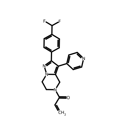 C=CC(=O)N1CCn2nc(-c3ccc(C(F)F)cc3)c(-c3ccncc3)c2C1